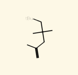 C=C(C)CC(C)(C)CC(C)(C)C